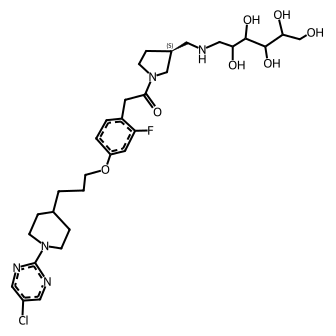 O=C(Cc1ccc(OCCCC2CCN(c3ncc(Cl)cn3)CC2)cc1F)N1CC[C@@H](CNCC(O)C(O)C(O)C(O)CO)C1